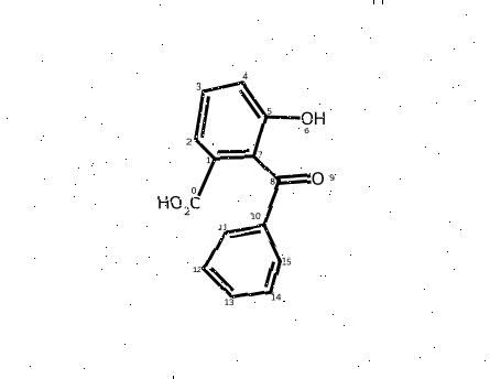 O=C(O)c1cccc(O)c1C(=O)c1ccccc1